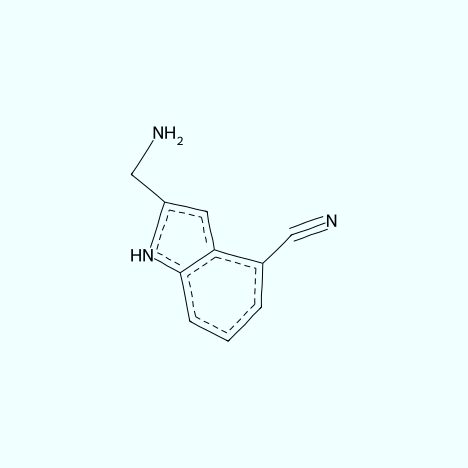 N#Cc1cccc2[nH]c(CN)cc12